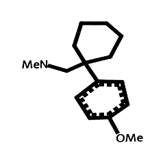 CNCC1(c2ccc(OC)cc2)CCCCC1